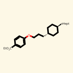 CCCCCCC[C@H]1CC[C@H](CCCOc2ccc(C(=O)OCC)cc2)CC1